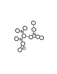 c1ccc(-c2ccc(-n3c4cc(-c5cc(N(c6ccccc6)c6ccccc6)cc(N(c6ccccc6)c6ccc7oc8ccccc8c7c6)c5)ccc4c4cc5ccccc5cc43)cc2)cc1